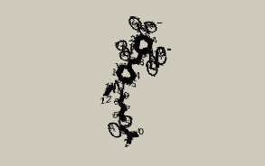 C=C(C)C(=O)OCCCCN(CC)c1ccc(C=Cc2c([N+](=O)[O-])cc([N+](=O)[O-])cc2[N+](=O)[O-])cc1